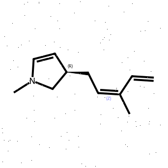 C=C/C(C)=C\C[C@@H]1C=CN(C)C1